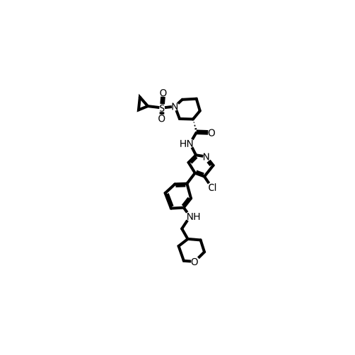 O=C(Nc1cc(-c2cccc(NCC3CCOCC3)c2)c(Cl)cn1)[C@H]1CCCN(S(=O)(=O)C2CC2)C1